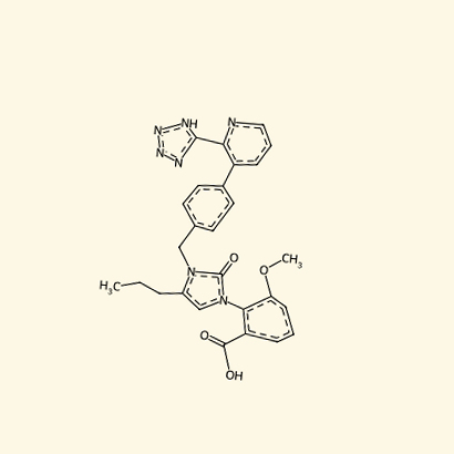 CCCc1cn(-c2c(OC)cccc2C(=O)O)c(=O)n1Cc1ccc(-c2cccnc2-c2nnn[nH]2)cc1